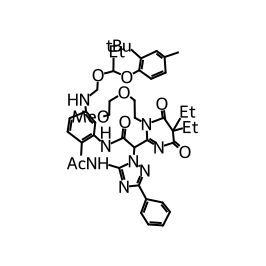 CCC(OCNc1ccc(C)c(NC(=O)C(C2=NC(=O)C(CC)(CC)C(=O)N2CCOCCOC)n2nc(-c3ccccc3)nc2NC(C)=O)c1)Oc1ccc(C)cc1C(C)(C)C